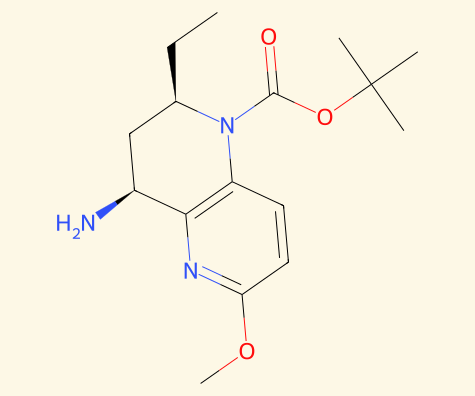 CC[C@@H]1C[C@H](N)c2nc(OC)ccc2N1C(=O)OC(C)(C)C